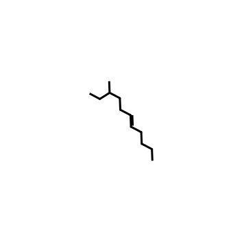 CCCC/C=C/CCC(C)CC